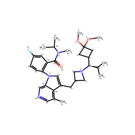 COC1(OC)CC([C@@H](C(C)C)N2CC(Cc3cn(-c4ccc(F)cc4C(=O)N(C)C(C)C)c4cncc(C)c34)C2)C1